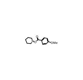 COc1ccc(C(=O)ON2CCCCC2)cc1